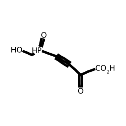 O=C(O)C(=O)C#C[PH](=O)CO